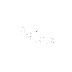 Nc1ncnc2c1ncn2[C@@H]1O[C@@H]2COP(=O)(S)O[C@H]3[C@@H](F)[C@H](n4cnc5c(N)ncnc54)O[C@@H]3COP(=O)(O)CO[C@H]2[C@H]1F